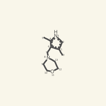 Cc1c[nH]c(C)c1CN1CCOCC1